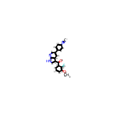 [C-]#[N+]c1ccc(-c2cnc3[nH]cc(C(=O)c4cccc(OC)c4F)c3c2)cc1